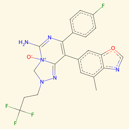 Cc1cc(C2=C(c3ccc(F)cc3)N=C(N)[N+]3([O-])CN(CCC(F)(F)F)N=C23)cc2ocnc12